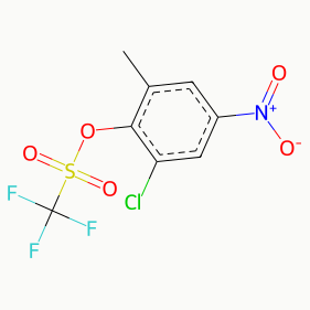 Cc1cc([N+](=O)[O-])cc(Cl)c1OS(=O)(=O)C(F)(F)F